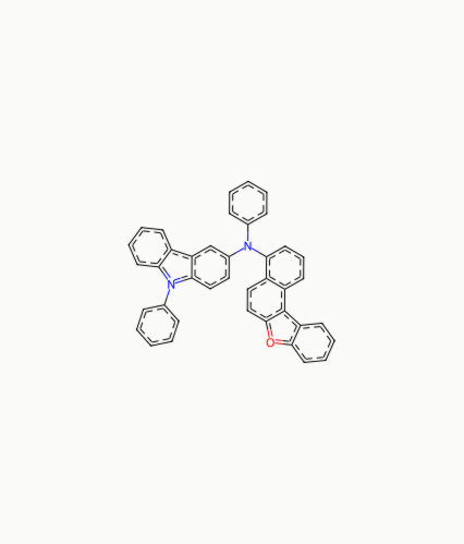 c1ccc(N(c2ccc3c(c2)c2ccccc2n3-c2ccccc2)c2cccc3c2ccc2oc4ccccc4c23)cc1